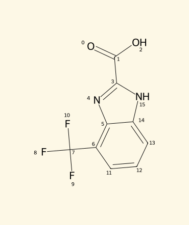 O=C(O)c1nc2c(C(F)(F)F)cccc2[nH]1